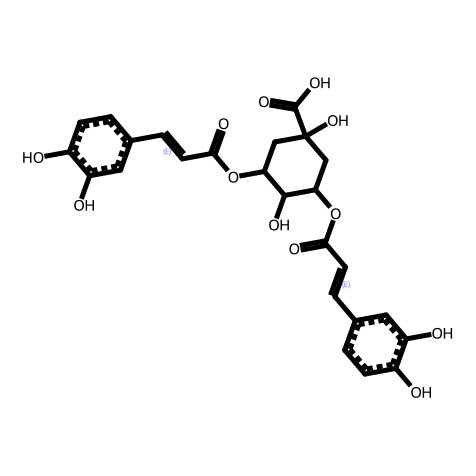 O=C(/C=C/c1ccc(O)c(O)c1)OC1CC(O)(C(=O)O)CC(OC(=O)/C=C/c2ccc(O)c(O)c2)C1O